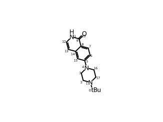 CC(C)(C)N1CCN(c2ccc3c(=O)[nH]ccc3c2)CC1